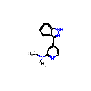 CN(C)c1cc(-c2n[nH]c3ccccc23)ccn1